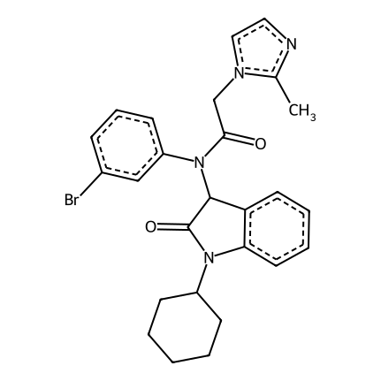 Cc1nccn1CC(=O)N(c1cccc(Br)c1)C1C(=O)N(C2CCCCC2)c2ccccc21